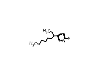 CCCCCCC(CC)c1ccc(F)nc1